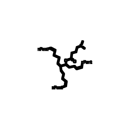 CCCCC/C=C\CCCC(CCC/C=C\CCCCC)C(CC/C=C\CCCCC)OC(=O)CCCN(C)C